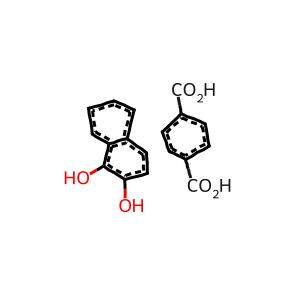 O=C(O)c1ccc(C(=O)O)cc1.Oc1ccc2ccccc2c1O